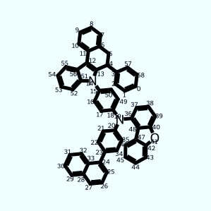 c1ccc(C2Cc3ccccc3-c3c2n(-c2ccc(N(c4ccc(-c5cccc6ccccc56)cc4)c4cccc5oc6ccccc6c45)cc2)c2ccccc32)cc1